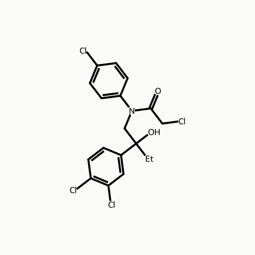 [CH2]CC(O)(CN(C(=O)CCl)c1ccc(Cl)cc1)c1ccc(Cl)c(Cl)c1